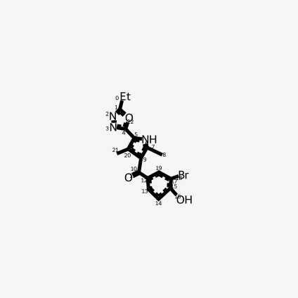 CCc1nnc(-c2[nH]c(C)c(C(=O)c3ccc(O)c(Br)c3)c2C)o1